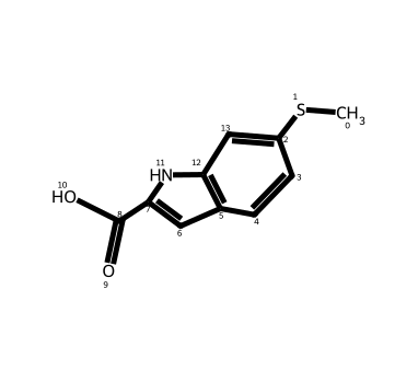 CSc1ccc2cc(C(=O)O)[nH]c2c1